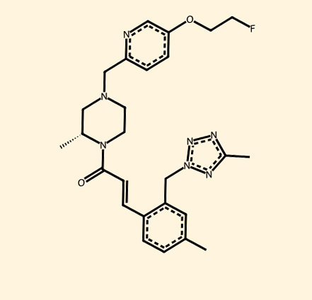 Cc1ccc(/C=C/C(=O)N2CCN(Cc3ccc(OCCF)cn3)C[C@H]2C)c(Cn2nnc(C)n2)c1